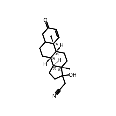 C[C@]12C=CC(=O)CC1CC[C@@H]1[C@H]2CC[C@@]2(C)[C@H]1CCC2(O)CC#N